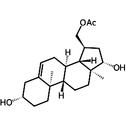 CC(=O)OC[C@H]1C[C@H](O)[C@@]2(C)CC[C@H]3[C@@H](CC=C4C[C@@H](O)CC[C@@]43C)[C@H]12